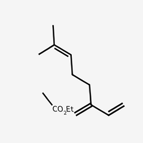 C=CC(=C)CCC=C(C)C.CCOC(C)=O